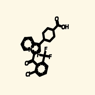 O=C(c1c(Cl)cccc1C(F)(F)F)c1cc(C2CCC(C(=O)O)CC2)c2ccccn12